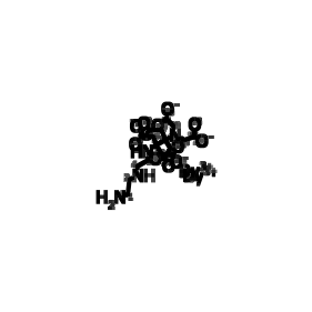 NCCNCCNC(CC(=O)[O-])(CC(=O)[O-])C(CC(=O)[O-])(CC(=O)[O-])N(CC(=O)[O-])CC(=O)[O-].[Dy+3].[Dy+3]